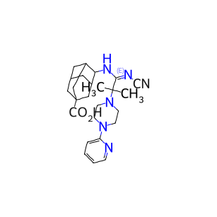 CC(C)(/C(=N\C#N)NC1C2CC3CC1CC(C(=O)O)(C3)C2)N1CCN(c2ccccn2)CC1